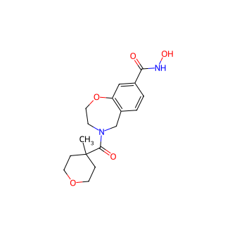 CC1(C(=O)N2CCOc3cc(C(=O)NO)ccc3C2)CCOCC1